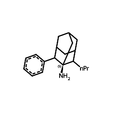 CCCC1C2CC3CC(C2)C(c2ccccc2)[C@]1(N)C3